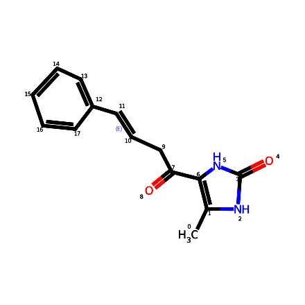 Cc1[nH]c(=O)[nH]c1C(=O)C/C=C/c1ccccc1